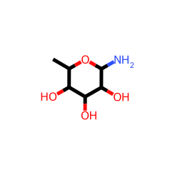 CC1OC(N)C(O)C(O)C1O